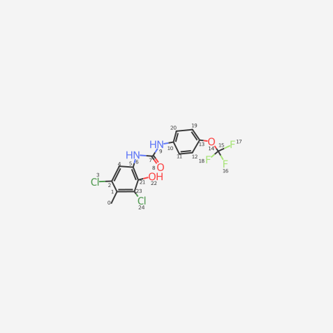 Cc1c(Cl)cc(NC(=O)Nc2ccc(OC(F)(F)F)cc2)c(O)c1Cl